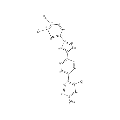 COc1ccc(-c2ccc(-c3nc(-c4ccc(Cl)c(Cl)c4)cs3)cc2)c(Cl)c1